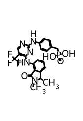 CC1c2cccc(Nc3nc(Nc4ccc(CP(=O)(O)O)cc4)ncc3C(F)(F)F)c2C(=O)N1C